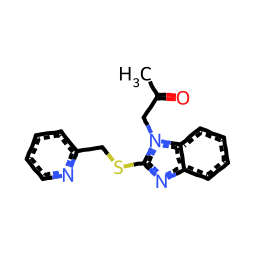 CC(=O)Cn1c(SCc2ccccn2)nc2ccccc21